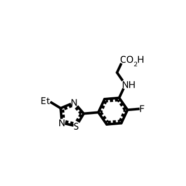 CCc1nsc(-c2ccc(F)c(NCC(=O)O)c2)n1